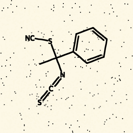 CC(N=C=S)(SC#N)c1ccccc1